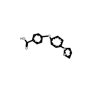 O=C(O)c1ccc(Oc2ccc(-n3cc[c]n3)cc2)cc1